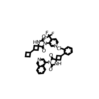 O=C1NC2(CC(C3CCC3)C2)C(=O)N1c1cnccc1C(F)(F)F.O=C1NC2(CC(c3ccccc3Cl)C2)C(=O)N1c1cncc2ccccc12